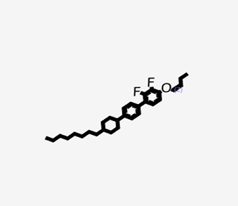 CC/C=C\Oc1ccc(-c2ccc(C3CCC(CCCCCCCC)CC3)cc2)c(F)c1F